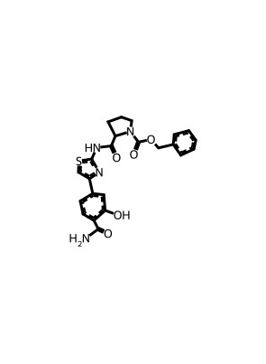 NC(=O)c1ccc(-c2csc(NC(=O)C3CCCN3C(=O)OCc3ccccc3)n2)cc1O